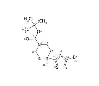 CC(C)(C)OC(=O)N1CCC(F)(c2nc(Br)cs2)CC1